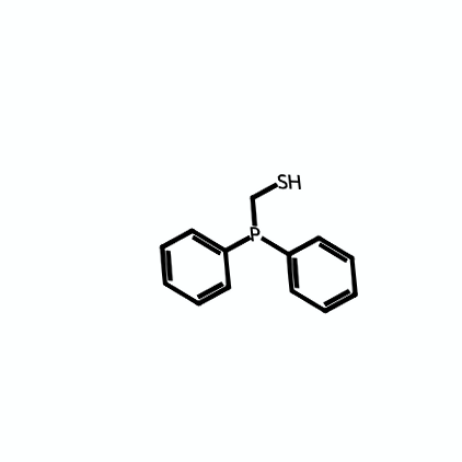 SCP(c1ccccc1)c1ccccc1